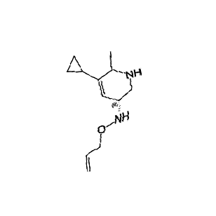 C=CCON[C@@H]1C=C(C2CC2)C(C)NC1